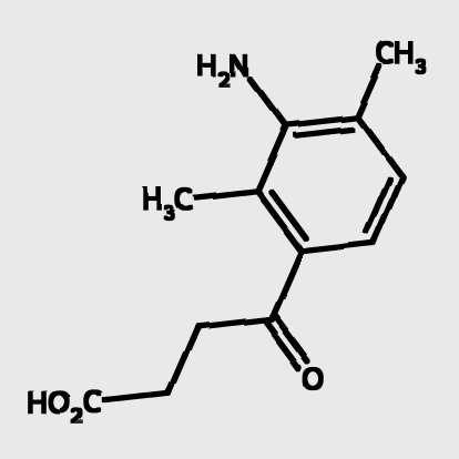 Cc1ccc(C(=O)CCC(=O)O)c(C)c1N